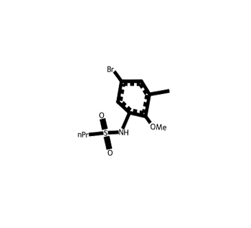 CCCS(=O)(=O)Nc1cc(Br)cc(C)c1OC